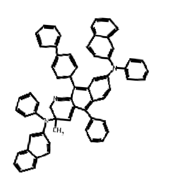 CC1(N(c2ccccc2)c2ccc3ccccc3c2)C=c2c(-c3ccccc3)c3ccc(N(c4ccccc4)c4ccc5ccccc5c4)cc3c(C3C=CC(c4ccccc4)=CC3)c2=NC1